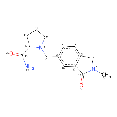 CN1Cc2ccc(CN3CCCC3C(N)=O)cc2C1=O